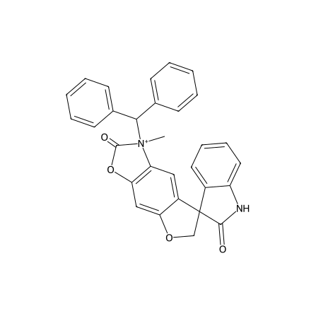 C[N+]1(C(c2ccccc2)c2ccccc2)C(=O)Oc2cc3c(cc21)C1(CO3)C(=O)Nc2ccccc21